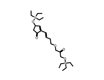 CC[Si](CC)(CC)OCC(=O)COCCC=CC1=CC(O[Si](CC)(CC)CC)CC1=O